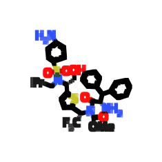 COC(=O)N(C(=O)[C@@H](N)C(c1ccccc1)c1ccccc1)[C@@H](c1ccc([C@@H](CO)N(CC(C)C)S(=O)(=O)c2ccc(N)cc2)s1)C(F)(F)F